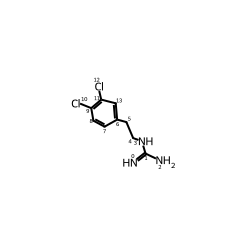 N=C(N)NCCc1ccc(Cl)c(Cl)c1